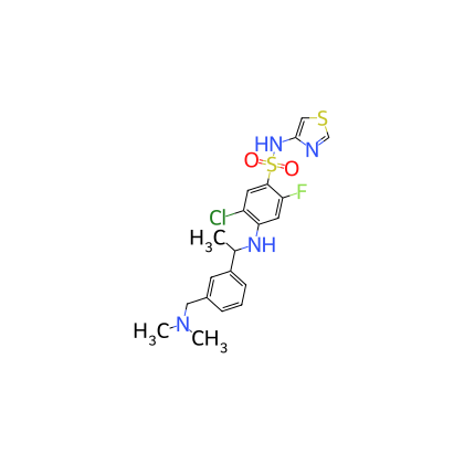 CC(Nc1cc(F)c(S(=O)(=O)Nc2cscn2)cc1Cl)c1cccc(CN(C)C)c1